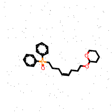 O=P(CCC/C=C\CCCOC1CCCCO1)(c1ccccc1)c1ccccc1